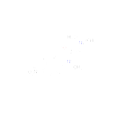 CN(C)CC(=O)N(C)c1ccc([N+](=O)[O-])cc1